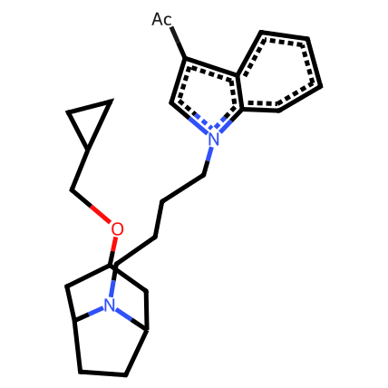 CC(=O)c1cn(CCCCN2C3CCC2CC(OCC2CC2)C3)c2ccccc12